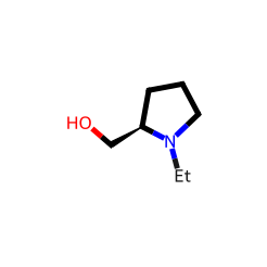 CCN1CCC[C@@H]1CO